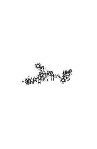 CC(C)(C)[C@H](NC(=O)c1cc2cc(C(F)(F)P(=O)(O)O)ccc2s1)C(=O)N1CCN(C(=O)CC(=O)NCCCC#Cc2cccc3c2C(=O)N(C2CCC(=O)NC2=O)C3=O)C[C@H]1C(=O)N1CCO[C@H](c2ccccc2)C1